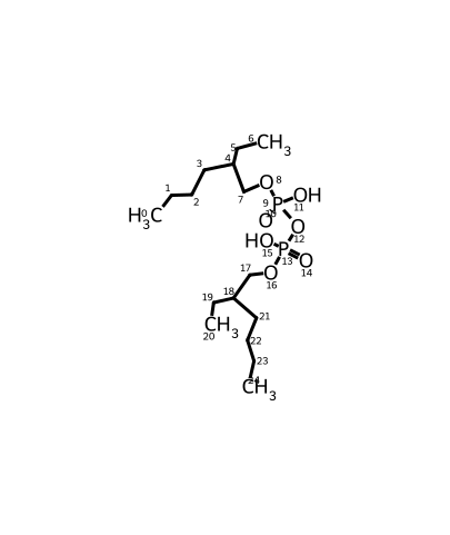 CCCCC(CC)COP(=O)(O)OP(=O)(O)OCC(CC)CCCC